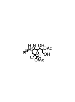 COC(=O)[C@]1(Cl)C[C@@H](N=[N+]=[N-])[C@@H](N)C([C@H](O)[C@@H](CO)OC(C)=O)O1